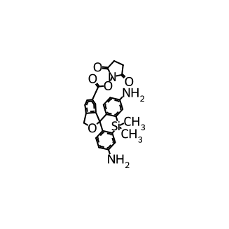 C[Si]1(C)c2cc(N)ccc2C2(OCc3ccc(C(=O)ON4C(=O)CCC4=O)cc32)c2ccc(N)cc21